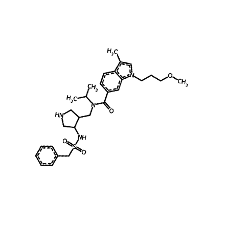 COCCCn1cc(C)c2ccc(C(=O)N(CC3CNCC3NS(=O)(=O)Cc3ccccc3)C(C)C)cc21